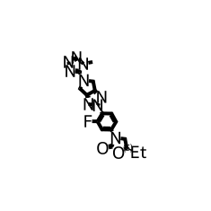 CC[C@H]1CN(c2ccc(-n3nc4c(n3)CN(c3nnnn3C)C4)c(F)c2)C(=O)O1